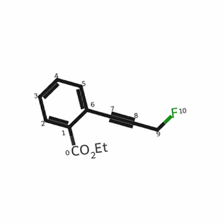 CCOC(=O)c1ccccc1C#CCF